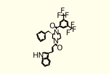 O=C(/C=C/c1c[nH]c2ccccc12)N1CCN(C(=O)c2cc(C(F)(F)F)cc(C(F)(F)F)c2)[C@H](Cc2ccccc2)C1